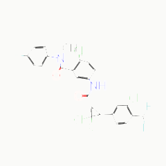 CN(C(=O)c1cc(NC(=O)[C@@H]2[C@@H](c3ccc(C(F)F)c(Cl)c3)C2(Cl)Cl)ccc1Cl)c1ccc(F)cc1